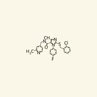 Cc1cc(CN(C)C(=O)c2cnc(SCc3ccccc3Cl)n2-c2ccc(F)cc2)ccn1